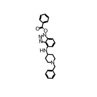 O=C(On1nnc2c(NC3CCN(Cc4ccccc4)CC3)cccc21)c1ccccc1